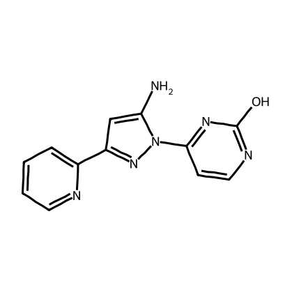 Nc1cc(-c2ccccn2)nn1-c1ccnc(O)n1